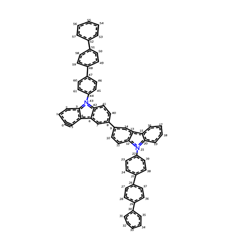 c1ccc2c(c#1)c1cc(-c3ccc4c(c3)c3ccccc3n4-c3ccc(-c4ccc(-c5ccccc5)cc4)cc3)ccc1n2-c1ccc(-c2ccc(-c3ccccc3)cc2)cc1